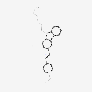 CCOC(=O)C[n+]1ccc(/C=C/c2ccc3c(c2)c2ccccc2n3CCOCCOC)cc1.[Br-]